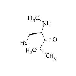 CN[C@H](CS)C(=O)C(C)C